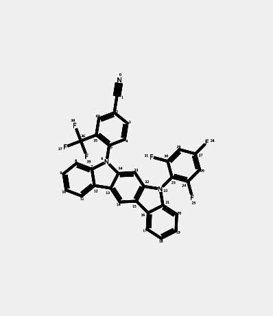 N#Cc1ccc(-n2c3ccccc3c3cc4c5ccccc5n(-c5c(F)cc(F)cc5F)c4cc32)c(C(F)(F)F)c1